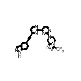 FC(F)(F)c1nnc2n1CCN(c1nccc(-c3nccc(C#Cc4ccc5[nH]ncc5c4)n3)n1)C2